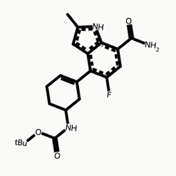 Cc1cc2c(C3=CCCC(NC(=O)OC(C)(C)C)C3)c(F)cc(C(N)=O)c2[nH]1